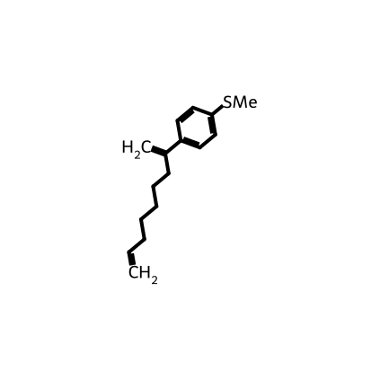 C=CCCCCCC(=C)c1ccc(SC)cc1